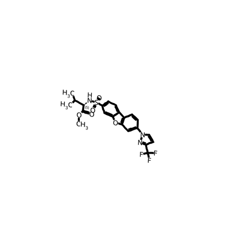 COC(=O)[C@@H](NS(=O)(=O)c1ccc2c(c1)oc1cc(-n3ccc(C(F)(F)F)n3)ccc12)C(C)C